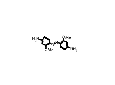 COc1cc(N)ccc1/N=N/c1ccc(N)cc1OC